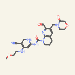 COCCNC1=C(C#N)CNC(NC(=O)N2CCCc3cc(CN4CCOCC4=O)c(C=O)nc32)=C1